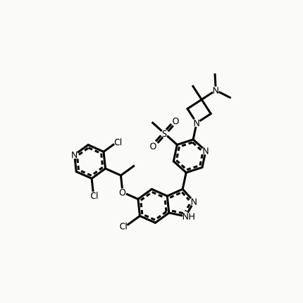 CC(Oc1cc2c(-c3cnc(N4CC(C)(N(C)C)C4)c(S(C)(=O)=O)c3)n[nH]c2cc1Cl)c1c(Cl)cncc1Cl